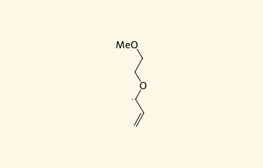 C=C[CH]OCCOC